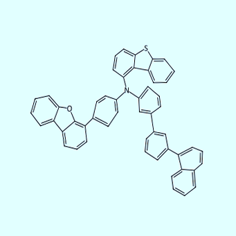 c1cc(-c2cccc(N(c3ccc(-c4cccc5c4oc4ccccc45)cc3)c3cccc4sc5ccccc5c34)c2)cc(-c2cccc3ccccc23)c1